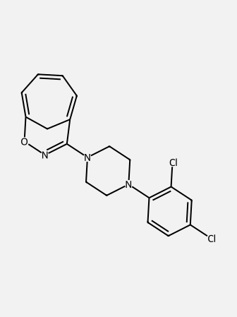 Clc1ccc(N2CCN(C3=NOC4=CC=CC=C3C4)CC2)c(Cl)c1